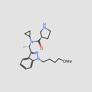 COCCCCn1nc([C@H](C)N(C(=O)[C@@H]2CCNC2)C2CC2)c2ccccc21